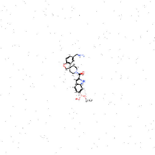 NCc1ccc2c(c1)C1(CCN(C(=O)c3cc4ccc(B(O)OC=O)cc4[nH]3)CC1)CO2